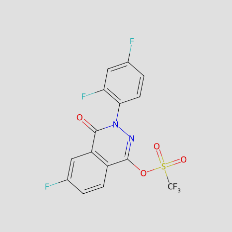 O=c1c2cc(F)ccc2c(OS(=O)(=O)C(F)(F)F)nn1-c1ccc(F)cc1F